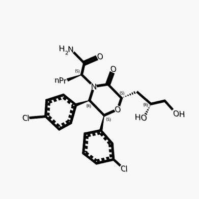 CCC[C@@H](C(N)=O)N1C(=O)[C@H](C[C@@H](O)CO)O[C@@H](c2cccc(Cl)c2)[C@H]1c1ccc(Cl)cc1